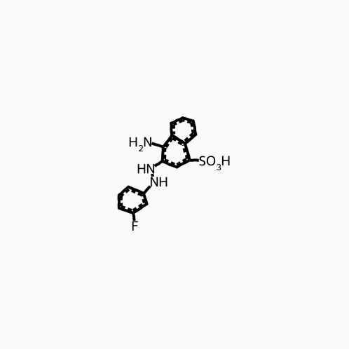 Nc1c(NNc2cccc(F)c2)cc(S(=O)(=O)O)c2ccccc12